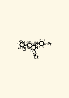 CCOCc1nc(Nc2ccc(C(C)C)cc2)c2ccc(-c3ncccc3Cl)nc2n1